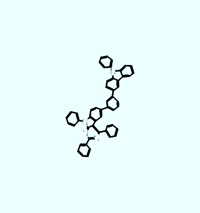 c1ccc(-c2nc(-c3ccccc3)c3c4cc(-c5cccc(-c6ccc7c(c6)c6ccccc6n7-c6ccccc6)c5)ccc4n(-c4ccccc4)c3n2)cc1